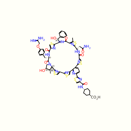 Cc1sc2nc1C(=O)N[C@@H]([C@H](O)c1ccccc1)c1nc(cs1)C(=O)N[C@@H](Cc1ccc(OCC(=N)N)cc1)C(=O)N1C[C@H](O)[C@H](C)[C@H]1c1nc(cs1)-c1nc(cs1)-c1nc(-c3nc(C(=O)N[C@H]4CC[C@H](C(=O)O)CC4)cs3)ccc1-c1nc(cs1)C(=O)N[C@H]2CC(N)=O